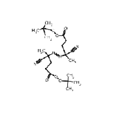 CC(C#N)(CCC(=O)OOC(C)(C)C)/N=N/C(C)(C#N)CCC(=O)OOC(C)(C)C